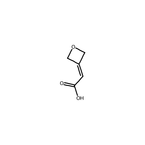 O=C(O)C=C1COC1